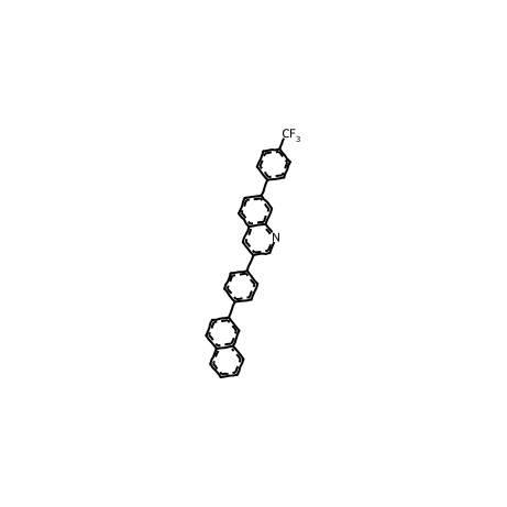 FC(F)(F)c1ccc(-c2ccc3cc(-c4ccc(-c5ccc6ccccc6c5)cc4)cnc3c2)cc1